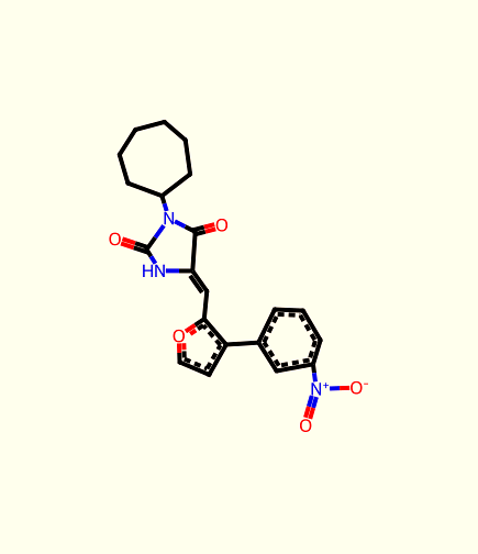 O=C1N/C(=C\c2occc2-c2cccc([N+](=O)[O-])c2)C(=O)N1C1CCCCCC1